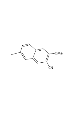 COc1cc2ccc(C)cc2cc1C#N